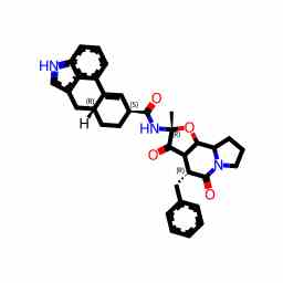 C[C@@]1(NC(=O)[C@@H]2C=C3c4cccc5[nH]cc(c45)C[C@H]3CC2)OC2C(C1=O)[C@@H](Cc1ccccc1)C(=O)N1CCCC21